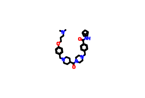 CN(C)CCCOc1ccc(CN2CCC(C(=O)N3CCN(Cc4ccc(C(=O)NC5C6CCC5C6)cc4)CC3)CC2)cc1